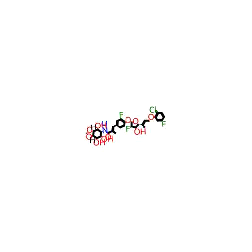 CC(=Cc1ccc(O[C@@H]2O[C@H](C(C)=CCOc3cc(F)ccc3Cl)[C@@H](O)[C@H]2F)c(F)c1)C(=O)N[C@@H]1[C@H](O)[C@@H](O)[C@H]2OCO[C@H]2[C@@H]1O